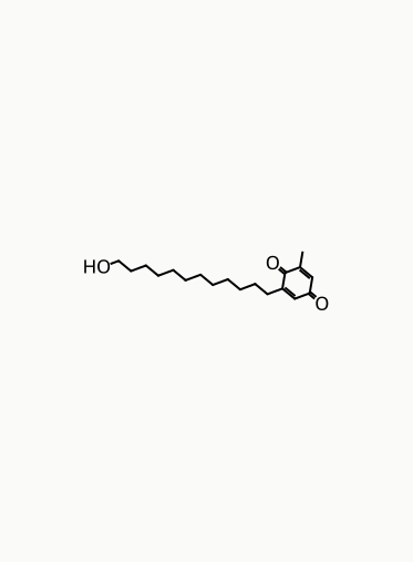 CC1=CC(=O)C=C(CCCCCCCCCCCCO)C1=O